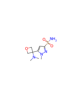 CN(C)C1(c2cc(S(N)(=O)=O)nn2C)COC1